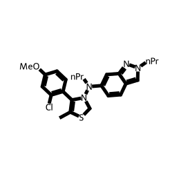 CCCN(c1ccc2cn(CCC)nc2c1)N1CSC(C)=C1c1ccc(OC)cc1Cl